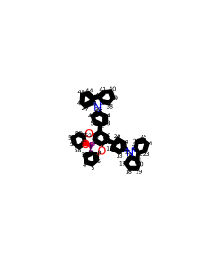 O=P12c3ccccc3Oc3c(-c4ccc(N5c6ccccc6C6C=CC=CC65)cc4)cc(-c4ccc(-n5c6ccccc6c6ccccc65)cc4)c(c31)Oc1ccccc12